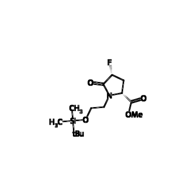 COC(=O)[C@H]1C[C@@H](F)C(=O)N1CCO[Si](C)(C)C(C)(C)C